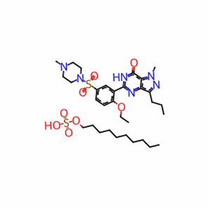 CCCCCCCCCCOS(=O)(=O)O.CCCc1nn(C)c2c(=O)[nH]c(-c3cc(S(=O)(=O)N4CCN(C)CC4)ccc3OCC)nc12